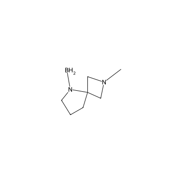 BN1CCCC12CN(C)C2